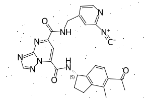 [C-]#[N+]c1cc(CNC(=O)c2cc(C(=O)N[C@H]3CCc4c3ccc(C(C)=O)c4C)n3ncnc3n2)ccn1